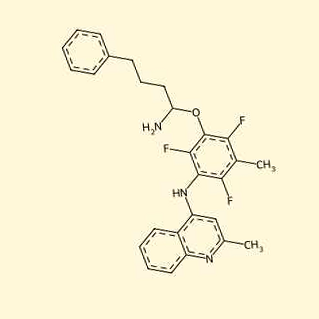 Cc1cc(Nc2c(F)c(C)c(F)c(OC(N)CCCc3ccccc3)c2F)c2ccccc2n1